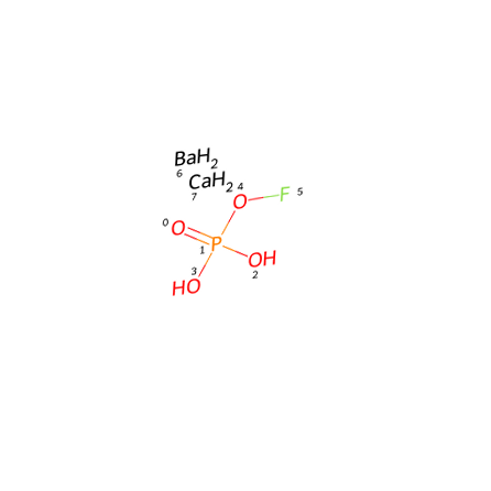 O=P(O)(O)OF.[BaH2].[CaH2]